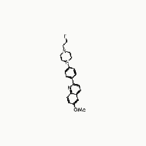 COc1ccc2nc(-c3ccc(N4CCN(CCF)CC4)cc3)ccc2c1